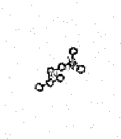 C1=CB2c3cc(-c4ccccc4)ccc3-c3ccccc3N2C(c2ccc(-c3nc(-c4ccccc4)nc(-c4ccccc4)n3)cc2)=C1